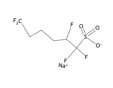 O=S(=O)([O-])C(F)(F)C(F)CCCC(F)(F)F.[Na+]